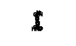 O=C(c1cnccn1)N1CCC(N2CCC(n3c(=O)[nH]c4ccccc43)CC2)CC1